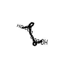 OCCOc1ccccc1OCCOCCOCCOc1ccccc1OCCO